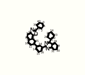 c1ccc(-c2nc3ccc4ccc(-c5cccc(-c6nc(-c7ccccc7)c7ccccc7n6)c5)cc4c3o2)cc1